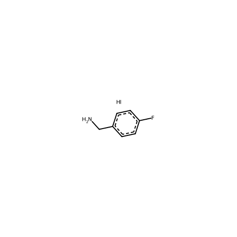 I.NCc1ccc(F)cc1